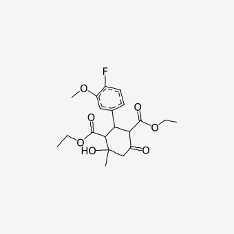 CCOC(=O)C1C(=O)CC(C)(O)C(C(=O)OCC)C1c1ccc(F)c(OC)c1